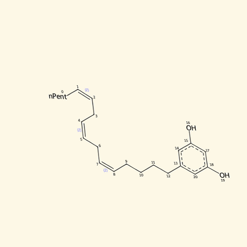 CCCCC/C=C\C/C=C\C/C=C\CCCCc1cc(O)cc(O)c1